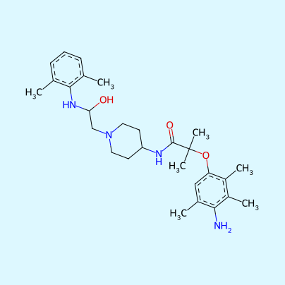 Cc1cc(OC(C)(C)C(=O)NC2CCN(CC(O)Nc3c(C)cccc3C)CC2)c(C)c(C)c1N